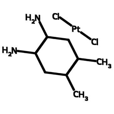 CC1CC(N)C(N)CC1C.[Cl][Pt][Cl]